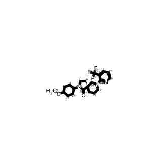 COC1CCC(N2CC[C@]3(CCCN(c4ncccc4C(F)(F)F)C3)C2=O)CC1